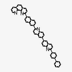 c1ccc(-c2ccc(-c3ccc4cc(-c5ccc6nc(-c7ccc8cc(-c9ccc%10ccc%11cccnc%11c%10n9)ccc8c7)ccc6c5)ccc4n3)cc2)cc1